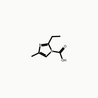 CCc1nc(C)cn1C(=O)O